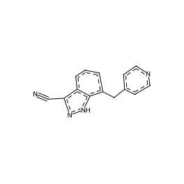 N#Cc1n[nH]c2c(Cc3ccncc3)cccc12